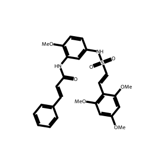 COc1cc(OC)c(C=CS(=O)(=O)Nc2ccc(OC)c(NC(=O)C=Cc3ccccc3)c2)c(OC)c1